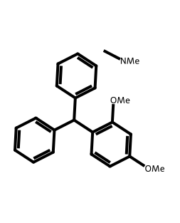 CNC.COc1ccc(C(c2ccccc2)c2ccccc2)c(OC)c1